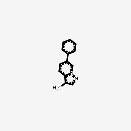 Cc1cnn2cc(-c3ccccc3)ccc12